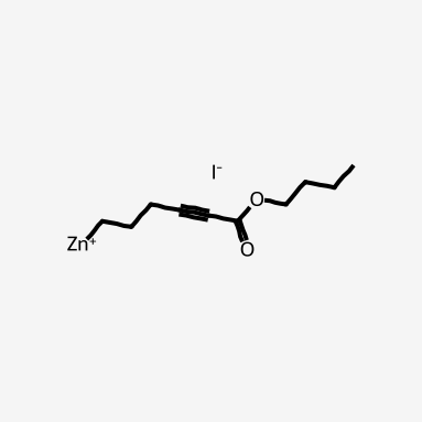 CCCCOC(=O)C#CCC[CH2][Zn+].[I-]